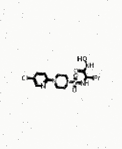 CC(C)C(NS(=O)(=O)N1CCN(c2ccc(Cl)cn2)CC1)C(=O)NO